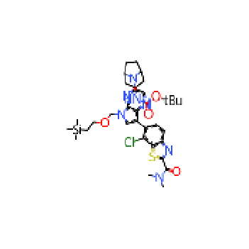 CN(C)C(=O)c1nc2ccc(-c3cn(COCC[Si](C)(C)C)c4nc(N5C6CCC5CC(NC(=O)OC(C)(C)C)C6)cnc34)c(Cl)c2s1